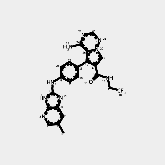 Cc1cnc2[nH]c(Nc3ccc(-c4c(C(=O)NCC(F)(F)F)cn5ncnc(N)c45)cc3)nc2c1